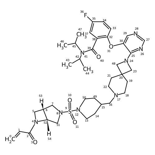 C=CC(=O)N1C[C@@H]2CN(S(=O)(=O)N3CCC(CN4CCC5(CC4)CN(c4ncncc4Oc4ccc(F)cc4C(=O)N(C(C)C)C(C)C)C5)CC3)C[C@@H]21